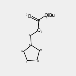 CC(C)COC(=O)OCC1CCCC1